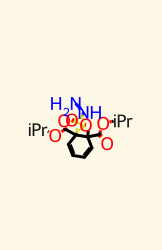 CC(C)OC(=O)C1(C)C=CC=CC1(C(=O)OC(C)C)S(=O)(=O)NN